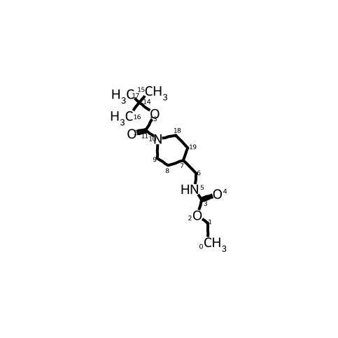 CCOC(=O)NCC1CCN(C(=O)OC(C)(C)C)CC1